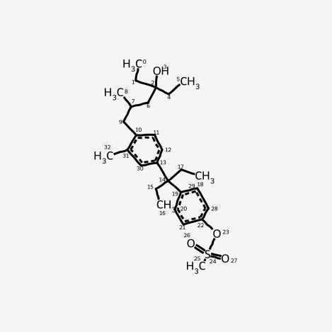 CCC(O)(CC)CC(C)Cc1ccc(C(CC)(CC)c2ccc(OS(C)(=O)=O)cc2)cc1C